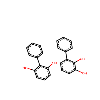 Oc1cccc(-c2ccccc2)c1O.Oc1cccc(O)c1-c1ccccc1